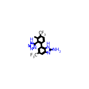 Cc1c(C(F)(F)F)ccc(-c2cc(C(F)(F)F)cc3nc(N)[nH]c23)c1-c1nnn[nH]1